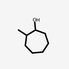 CC1CCCCCC1O